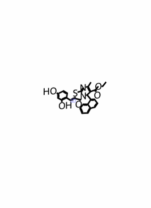 CCOC(=O)C1=C(C)N=c2s/c(=C\c3ccc(O)cc3O)c(=O)n2C1c1cccc2ccccc12